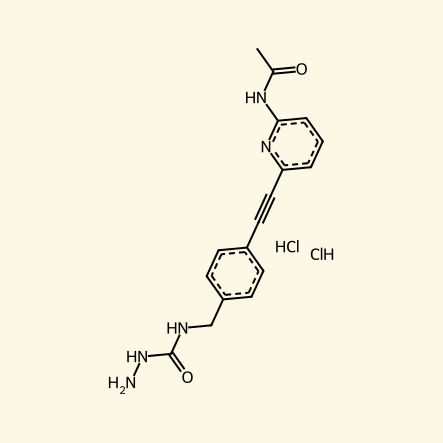 CC(=O)Nc1cccc(C#Cc2ccc(CNC(=O)NN)cc2)n1.Cl.Cl